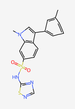 Cc1cccc(-c2cn(C)c3cc(S(=O)(=O)Nc4ncns4)ccc23)c1